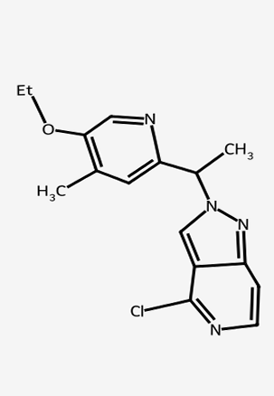 CCOc1cnc(C(C)n2cc3c(Cl)nccc3n2)cc1C